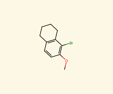 COc1ccc2c(c1Br)CCCC2